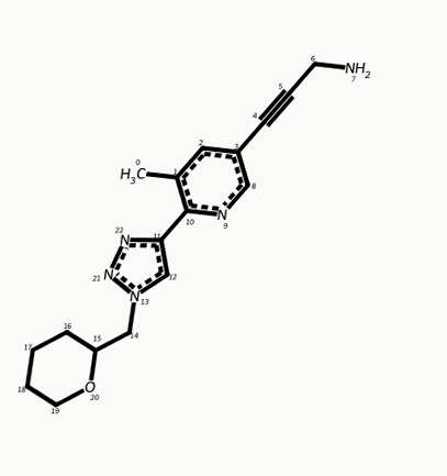 Cc1cc(C#CCN)cnc1-c1cn(CC2CCCCO2)nn1